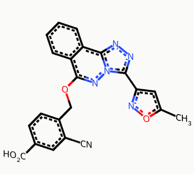 Cc1cc(-c2nnc3c4ccccc4c(OCc4ccc(C(=O)O)cc4C#N)nn23)no1